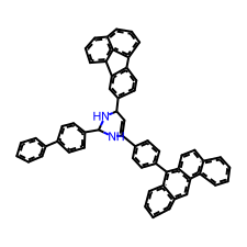 C1=C(c2ccc(-c3c4ccccc4cc4c3ccc3ccccc34)cc2)NC(c2ccc(-c3ccccc3)cc2)NC1c1ccc2c(c1)-c1cccc3cccc-2c13